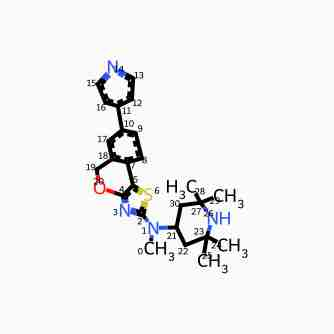 CN(c1nc2c(s1)-c1ccc(-c3ccncc3)cc1CO2)C1CC(C)(C)NC(C)(C)C1